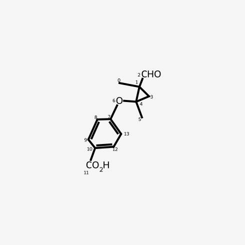 CC1(C=O)CC1(C)Oc1ccc(C(=O)O)cc1